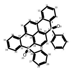 O=P1(c2ccccc2)c2ccccc2-c2ccc3c4c(ccc1c24)P(=O)(c1ccccc1)c1ccccc1-3